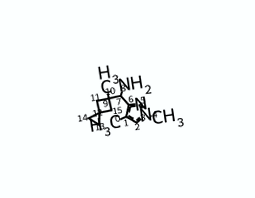 Cc1cn(C)nc1C(N)C1(C)CC2(CC2)C1